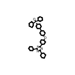 O=P(c1ccccc1)(c1ccccc1)c1ccc(-c2ccc(Oc3ccc(-c4nc(-c5ccccc5)nc(-c5ccccc5)n4)cc3)cc2)cc1